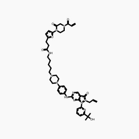 C=CCn1c(=O)c2cnc(Nc3ccc(N4CCN(CCCCCNC(=O)CCc5ccc(N6CCN(C(=O)C=C)CC6=O)o5)CC4)cc3)nc2n1-c1cccc(C(C)(C)O)n1